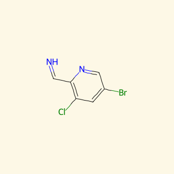 N=Cc1ncc(Br)cc1Cl